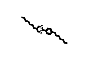 CCCCCCCc1ccc(C2SCC(CCCCCCC)CS2)cc1